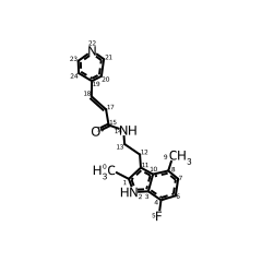 Cc1[nH]c2c(F)ccc(C)c2c1CCNC(=O)C=Cc1ccncc1